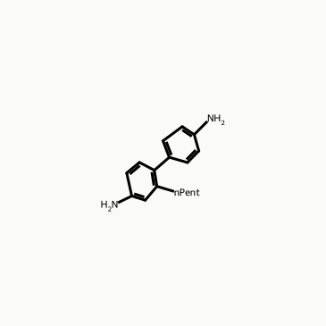 CCCCCc1cc(N)ccc1-c1ccc(N)cc1